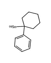 [SnH][C]1(c2ccccc2)CCCCC1